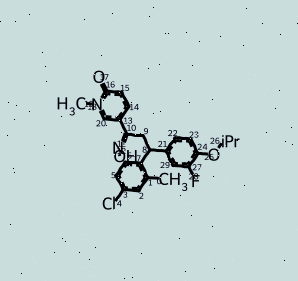 Cc1cc(Cl)ccc1C(C/C(=N\O)c1ccc(=O)n(C)c1)c1ccc(OC(C)C)c(F)c1